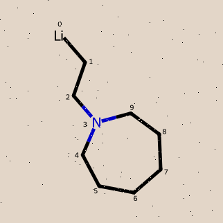 [Li][CH2]CN1CCCCCC1